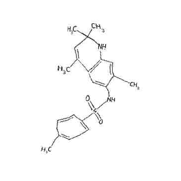 CC1=CC(C)(C)Nc2cc(C)c(NS(=O)(=O)c3ccc(C)cc3)cc21